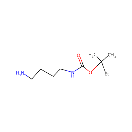 CCC(C)(C)OC(=O)NCCCCN